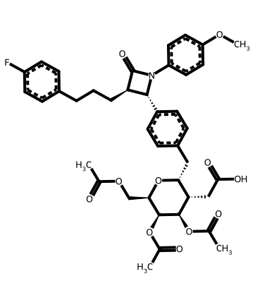 COc1ccc(N2C(=O)[C@H](CCCc3ccc(F)cc3)[C@H]2c2ccc(C[C@H]3O[C@H](COC(C)=O)[C@H](OC(C)=O)[C@H](OC(C)=O)[C@H]3CC(=O)O)cc2)cc1